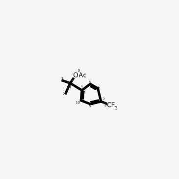 CC(=O)OC(C)(C)c1ccc(C(F)(F)F)cc1